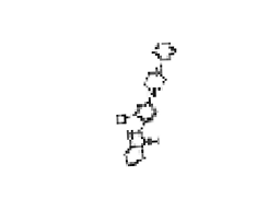 Clc1cc(N2CCN(c3ccccc3)CC2)ccc1-c1nc2ccccc2[nH]1